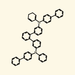 C1=CC(N(c2ccc(-c3ccccc3)cc2)c2cccc(-c3ccccc3-c3cccc(N(c4ccccc4)c4ccc(-c5ccccc5)cc4)c3)c2)=CCC1